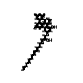 CCCCCCCCCCCCCCOCC(O)COc1ccc(-c2nnnc(-c3ccc(C)cc3C)c2-c2ccc(C)cc2C)c(O)c1